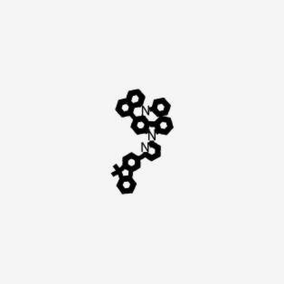 CC1(C)c2ccccc2-c2cc(-c3cccc(-n4c5ccccc5c5c6c(ccc54)-c4cccc5cccc(c45)N6c4ccccc4)n3)ccc21